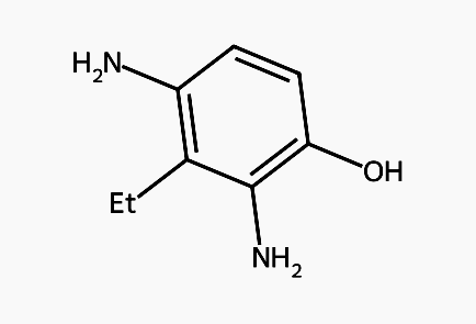 CCc1c(N)ccc(O)c1N